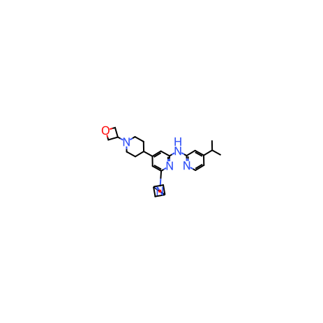 CC(C)c1ccnc(Nc2cc(C3CCN(C4COC4)CC3)cc(N3CC4CC3C4)n2)c1